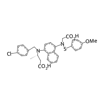 COc1ccc(SN(CC(=O)O)c2ccc(N(Cc3ccc(Cl)cc3)[C@@H](C)CC(=O)O)c3ccccc23)cc1